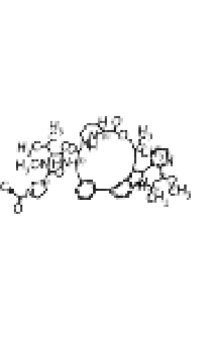 C#CC(=O)N1CC[C@H](C(=O)N(C)C(C(=O)N[C@H]2Cc3cccc(c3)-c3ccc4c(c3)c(c(-c3cccnc3[C@H](C)OC)n4CC)CC(C)(C)COC(=O)[C@@H]3CCCN(N3)C2=O)C(C)C)C1